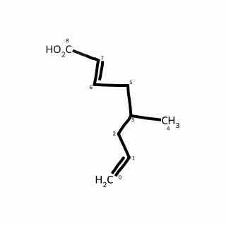 C=CCC(C)CC=CC(=O)O